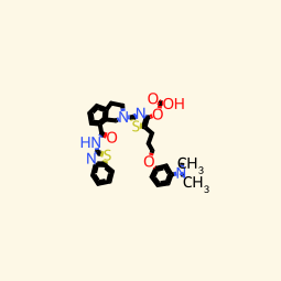 CN(C)c1cccc(OCCCc2sc(N3CCc4cccc(C(=O)Nc5nc6ccccc6s5)c4C3)nc2OC(=O)O)c1